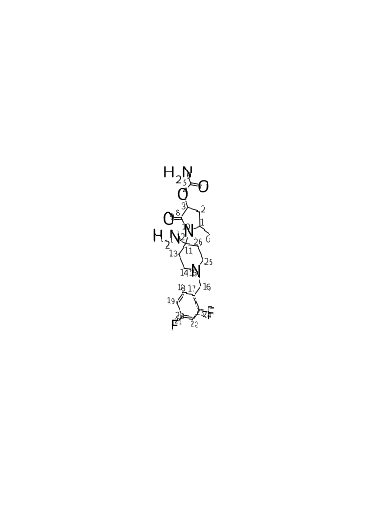 CC1CC(OC(N)=O)C(=O)N1C1(N)CCN(Cc2ccc(F)cc2F)CC1